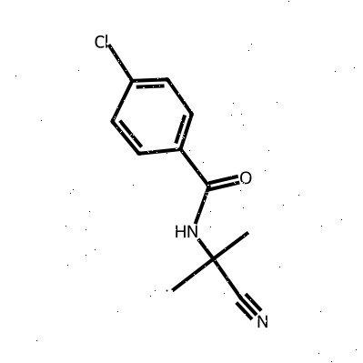 [CH2]C(C)(C#N)NC(=O)c1ccc(Cl)cc1